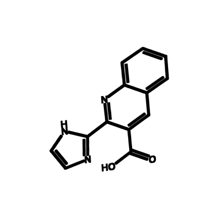 O=C(O)c1cc2ccccc2nc1-c1ncc[nH]1